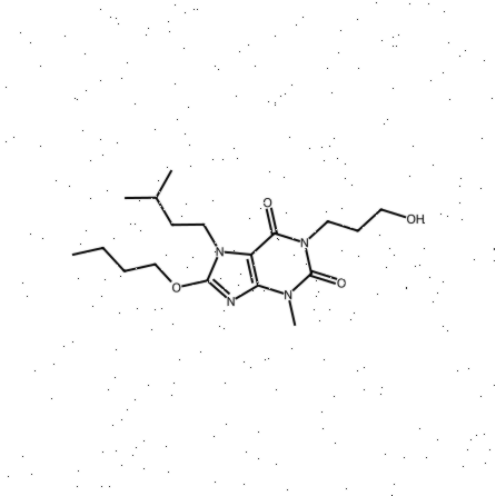 CCCCOc1nc2c(c(=O)n(CCCO)c(=O)n2C)n1CCC(C)C